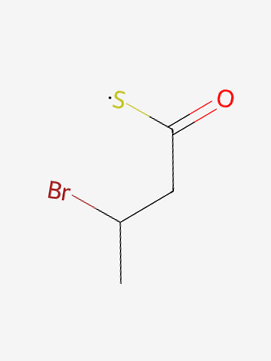 CC(Br)CC(=O)[S]